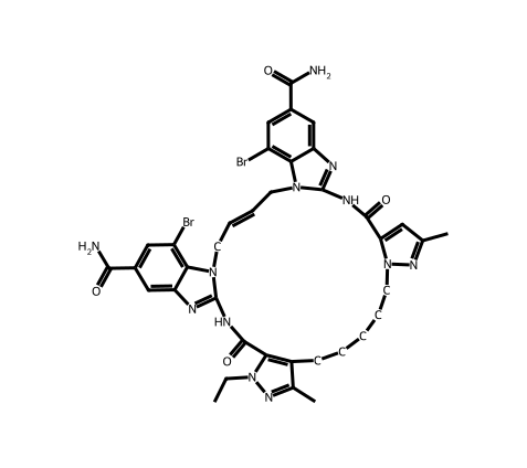 CCn1nc(C)c2c1C(=O)Nc1nc3cc(C(N)=O)cc(Br)c3n1C/C=C/Cn1c(nc3cc(C(N)=O)cc(Br)c31)NC(=O)c1cc(C)nn1CCCCC2